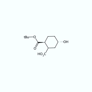 CC(C)(C)OC(=O)[C@H]1CC[C@H](O)CC1C(=O)O